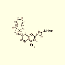 CC(=O)NC12CC(C(=O)N(C)[C@@H](c3ccc(N[C@H]4Cc5ccccc5C4(C)C)cn3)C(F)(F)F)(C1)C2